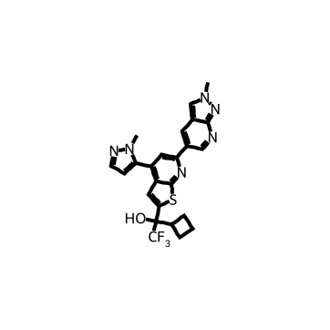 Cn1cc2cc(-c3cc(-c4ccnn4C)c4cc(C(O)(C5CCC5)C(F)(F)F)sc4n3)cnc2n1